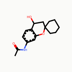 CC(=O)Nc1ccc2c(c1)OC1(CCCCC1)CC2O